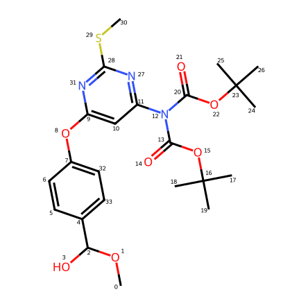 COC(O)c1ccc(Oc2cc(N(C(=O)OC(C)(C)C)C(=O)OC(C)(C)C)nc(SC)n2)cc1